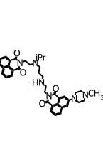 CC(C)N(CCCNCCN1C(=O)c2cccc3cc(N4CCN(C)CC4)cc(c23)C1=O)CCN1C(=O)c2cccc3cccc(c23)C1=O